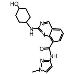 Cn1ccc(NC(=O)c2cccc3cnc(NC4CCC(O)CC4)nc23)n1